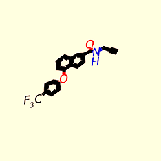 C#CCNC(=O)c1ccc2c(Oc3ccc(C(F)(F)F)cc3)cccc2c1